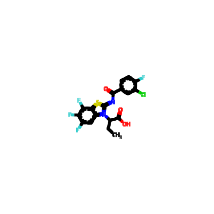 CCC(C(=O)O)n1c(=NC(=O)c2ccc(F)c(Cl)c2)sc2c(F)c(F)c(F)cc21